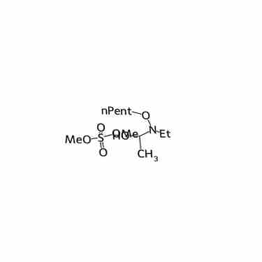 CCCCCON(CC)C(C)O.COS(=O)(=O)OC